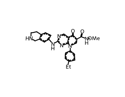 CCc1ccc(-n2cc(C(=O)NOC)c(=O)c3cnc(Nc4ccc5c(c4)CNCC5)nc32)cc1